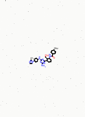 Cc1nccn1-c1ccc(Nc2nc(N)nc(-c3cccc(NC(=O)c4ccc(C(C)(C)C)cc4)c3CO)n2)cc1